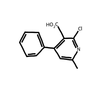 Cc1cc(-c2ccccc2)c(C(=O)O)c(Cl)n1